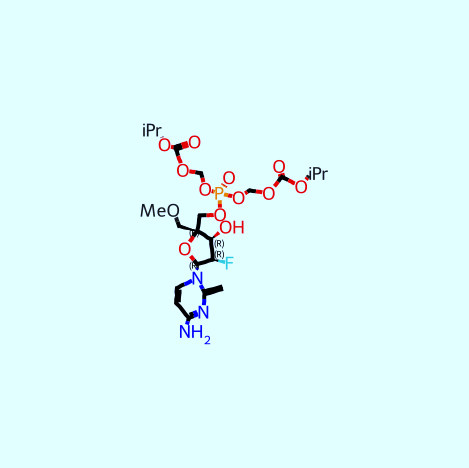 C=C1N=C(N)C=CN1[C@@H]1O[C@](COC)(COP(=O)(OCOC(=O)OC(C)C)OCOC(=O)OC(C)C)[C@@H](O)[C@H]1F